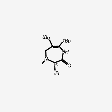 CC(C)[C@@H]1C(=O)NC(C(C)(C)C)=C(C(C)(C)C)CN1C